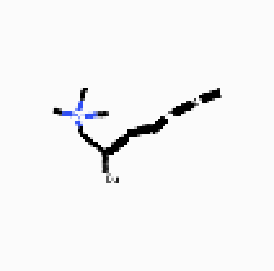 C=C=C=C=C=C(C[N+](C)(C)C)C(C)CC